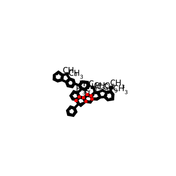 CC(C)(C)c1cccc2c1C(C)(C)c1c-2ccc(N(c2ccc(-c3ccccc3)cc2)c2cccc(-c3ccc4c(c3)C(C)(C)c3ccccc3-4)c2-c2ccccc2-c2ccccc2)c1C(C)(C)C